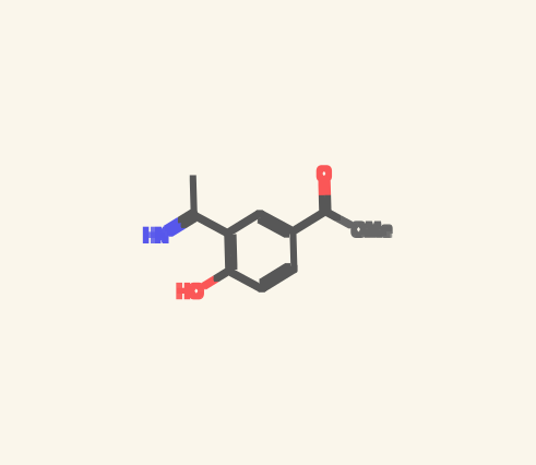 COC(=O)c1ccc(O)c(C(C)=N)c1